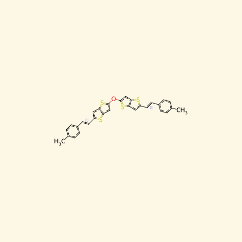 Cc1ccc(/C=C/c2cc3sc(Oc4cc5sc(/C=C/c6ccc(C)cc6)cc5s4)cc3s2)cc1